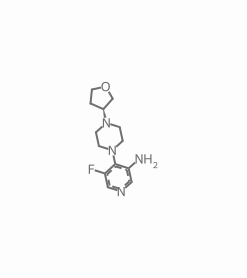 Nc1cncc(F)c1N1CCN([C@H]2CCOC2)CC1